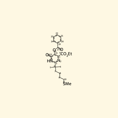 CCOC(=O)c1nc(C(C)(C)CCCCSC)[nH]c(=O)c1OC(=O)c1ccccc1